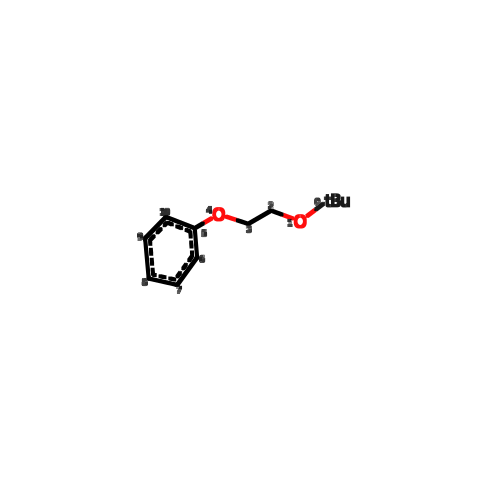 CC(C)(C)OCCOc1ccccc1